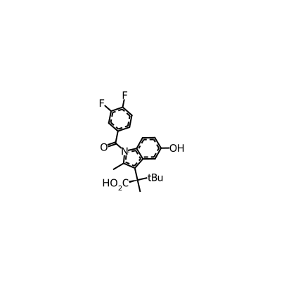 Cc1c([C@](C)(C(=O)O)C(C)(C)C)c2cc(O)ccc2n1C(=O)c1ccc(F)c(F)c1